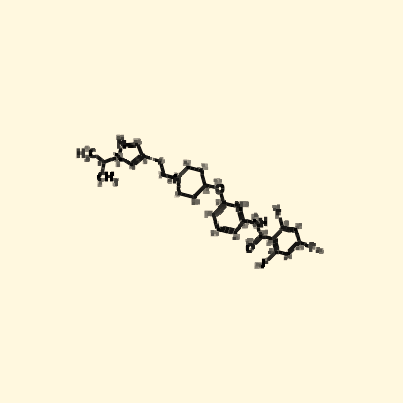 CC(C)n1cc(CCN2CCC(Oc3cccc(NC(=O)c4c(F)cc(F)cc4F)n3)CC2)cn1